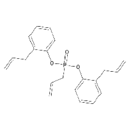 C=CCc1ccccc1OP(=O)(CC=C)Oc1ccccc1CC=C